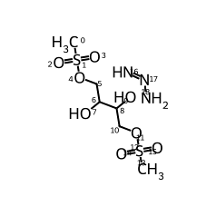 CS(=O)(=O)OCC(O)C(O)COS(C)(=O)=O.N=NN